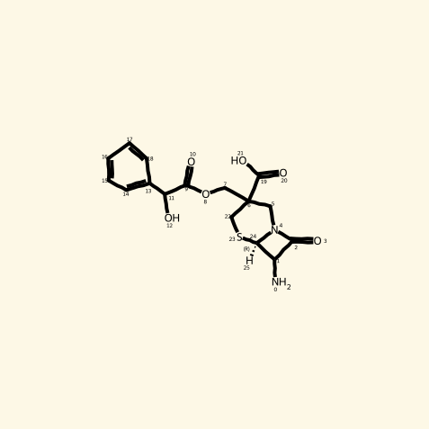 NC1C(=O)N2CC(COC(=O)C(O)c3ccccc3)(C(=O)O)CS[C@H]12